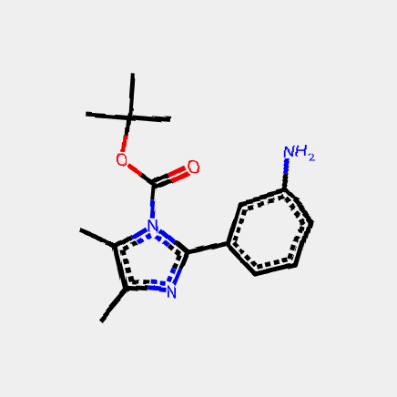 Cc1nc(-c2cccc(N)c2)n(C(=O)OC(C)(C)C)c1C